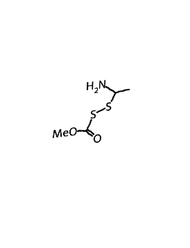 COC(=O)SSC(C)N